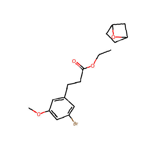 C1CC2CC1O2.CCOC(=O)CCc1cc(Br)cc(OC)c1